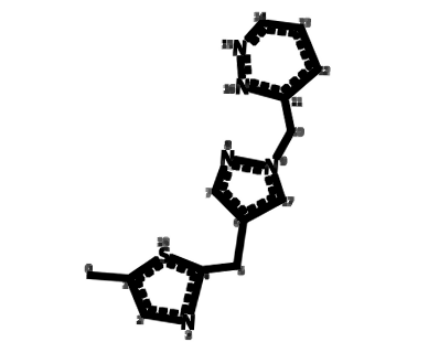 Cc1cnc(Cc2cnn(Cc3cccnn3)c2)s1